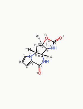 O=C1N[C@H]2[C@@H]3NC(=O)c4cccn4[C@@H]3C[C@H]2O1